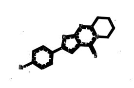 S=c1c2cc(-c3ccc(Br)cc3)oc2nc2n1CCCC2